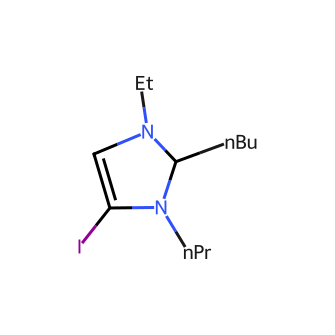 CCCCC1N(CC)C=C(I)N1CCC